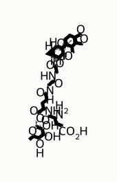 CC1O[C@H](COC(=O)C(CCC(=O)NCC(=O)NCC(=O)O[C@@H]2[C@@]3(C(C)C)C[C@H]3[C@@H]3O[C@@]34[C@@]3(C)CCC5=C(COC5=O)C3CO[C@]24C)NC(=O)C(N)CCC(=O)O)C(O)[C@H](O)C1O